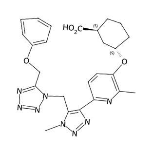 Cc1nc(-c2nnn(C)c2Cn2nnnc2COc2ccccc2)ccc1O[C@H]1CCC[C@H](C(=O)O)C1